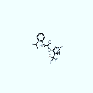 CC(C)c1ccccc1NC(=O)Oc1cn(C)nc1C(F)(F)F